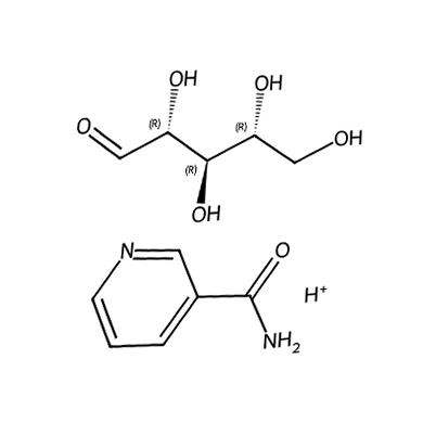 NC(=O)c1cccnc1.O=C[C@H](O)[C@H](O)[C@H](O)CO.[H+]